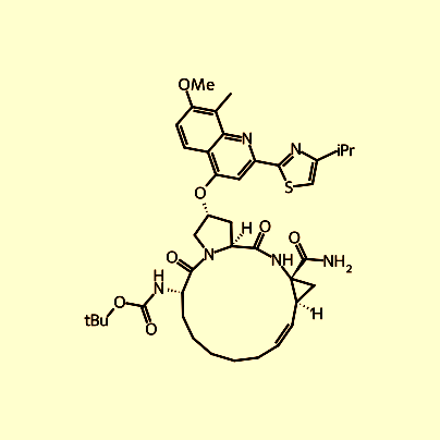 COc1ccc2c(O[C@@H]3C[C@H]4C(=O)N[C@]5(C(N)=O)C[C@H]5/C=C\CCCCC[C@H](NC(=O)OC(C)(C)C)C(=O)N4C3)cc(-c3nc(C(C)C)cs3)nc2c1C